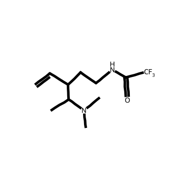 C=CC(CCNC(=O)C(F)(F)F)C(C)N(C)C